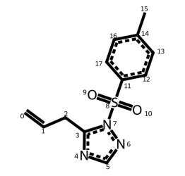 C=CCc1ncnn1S(=O)(=O)c1ccc(C)cc1